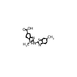 Cc1ccc2nc(Nc3nc4cc(C(=O)O)ccc4n3C)sc2c1